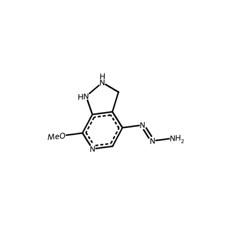 COc1ncc(N=NN)c2c1NNC2